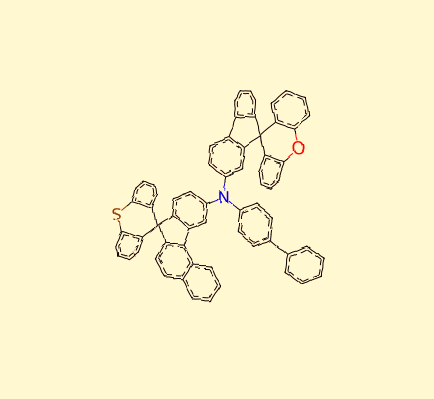 c1ccc(-c2ccc(N(c3ccc4c(c3)-c3c(ccc5ccccc35)C43c4ccccc4Sc4ccccc43)c3ccc4c(c3)C3(c5ccccc5Oc5ccccc53)c3ccccc3-4)cc2)cc1